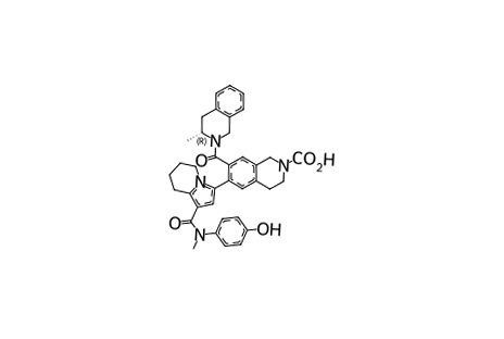 C[C@@H]1Cc2ccccc2CN1C(=O)c1cc2c(cc1-c1cc(C(=O)N(C)c3ccc(O)cc3)c3n1CCCC3)CCN(C(=O)O)C2